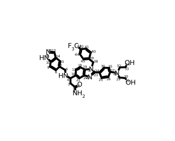 NC(=O)CC(NCc1ccc2[nH]ncc2c1)c1ccc2c(c1)nc(-c1ccc(N(CCO)CCO)cc1)n2Cc1ccc(C(F)(F)F)cc1